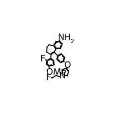 COc1ccc(C2=C(c3ccc(O[C@H]4CCN(CCCF)C4)cc3)c3ccc(N)cc3CCC2)c(F)c1